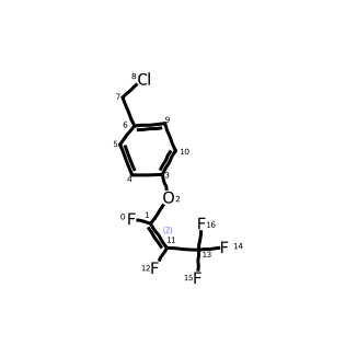 F/C(Oc1ccc(CCl)cc1)=C(\F)C(F)(F)F